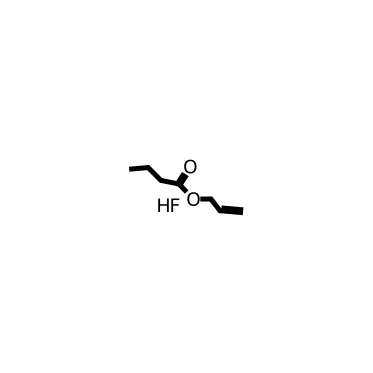 C=CCOC(=O)CCC.F